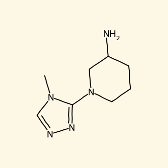 Cn1cnnc1N1CCCC(N)C1